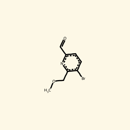 COCc1nc(C=O)ccc1Br